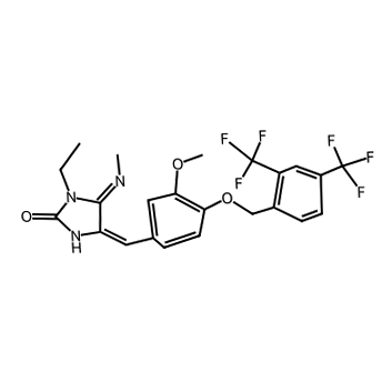 CCN1C(=O)NC(=Cc2ccc(OCc3ccc(C(F)(F)F)cc3C(F)(F)F)c(OC)c2)C1=NC